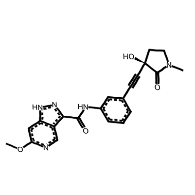 COc1cc2[nH]nc(C(=O)Nc3cccc(C#C[C@]4(O)CCN(C)C4=O)c3)c2cn1